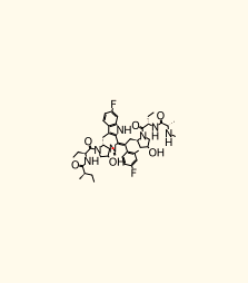 C=N/C(=C(/C[C@@H]1CC(O)CN1C(=O)[C@H](CC)NC(=O)[C@H](C)NC)c1ccc(F)cc1C)c1[nH]c2cc(F)ccc2c1C[C@@H]1CC(O)CN1C(=O)[C@H](CC)NC(=O)[C@H](C)CC